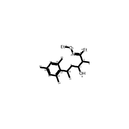 CCON=C(CC)C(C)C(O)CC(C)c1c(C)cc(C)cc1C